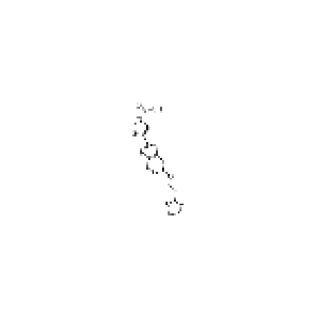 O=C(O)[C@H]1CSC(c2nc3ccc(OCCC4OCCS4)cc3s2)=N1